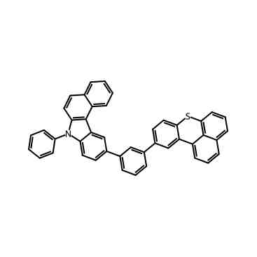 c1ccc(-n2c3ccc(-c4cccc(-c5ccc6c(c5)-c5cccc7cccc(c57)S6)c4)cc3c3c4ccccc4ccc32)cc1